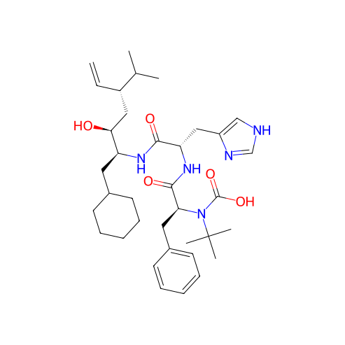 C=C[C@@H](C[C@H](O)[C@H](CC1CCCCC1)NC(=O)[C@H](Cc1c[nH]cn1)NC(=O)[C@H](Cc1ccccc1)N(C(=O)O)C(C)(C)C)C(C)C